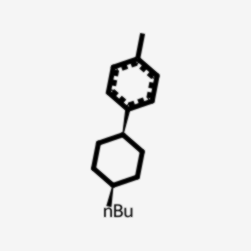 CCCC[C@H]1CC[C@@H](c2ccc(C)cc2)CC1